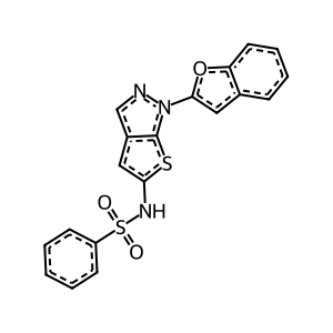 O=S(=O)(Nc1cc2cnn(-c3cc4ccccc4o3)c2s1)c1ccccc1